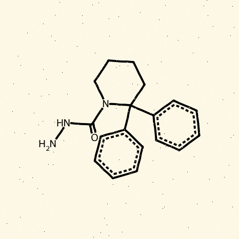 NNC(=O)N1CCCCC1(c1ccccc1)c1ccccc1